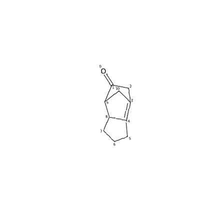 O=C1CC2=C3CCCC3C1C2